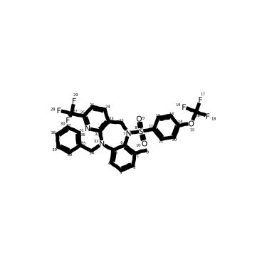 Cc1cccc2c1N(S(=O)(=O)c1ccc(OC(F)(F)F)cc1)Cc1ccc(C(F)(F)F)nc1N2Cc1ccccc1